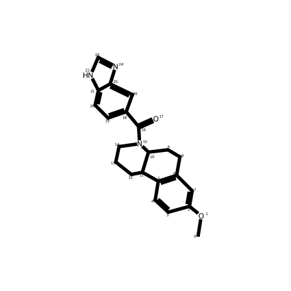 COc1ccc2c(c1)CCC1C2CCCN1C(=O)c1ccc2[nH]cnc2c1